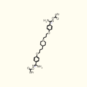 CCCC(=O)O/N=C(\N)c1ccc(OCCCC2CCN(CCCOc3ccc(/C(N)=N/OC(=O)CCC)cc3)CC2)cc1